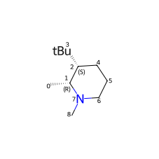 C[C@@H]1[C@H](C(C)(C)C)CCCN1C